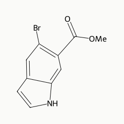 COC(=O)c1cc2[nH]ccc2cc1Br